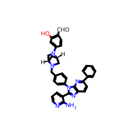 Nc1ncccc1-c1nc2ccc(-c3ccccc3)nc2n1-c1ccc(CN2C[C@@H]3C[C@H]2CN3c2ccc(C=O)c(O)c2)cc1